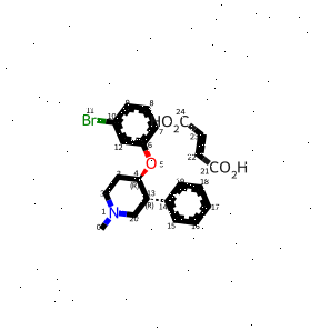 CN1CC[C@@H](Oc2cccc(Br)c2)[C@H](c2ccccc2)C1.O=C(O)C=CC(=O)O